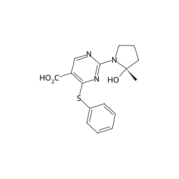 C[C@]1(O)CCCN1c1ncc(C(=O)O)c(Sc2ccccc2)n1